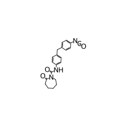 O=C=Nc1ccc(Cc2ccc(NC(=O)N3CCCCCC3=O)cc2)cc1